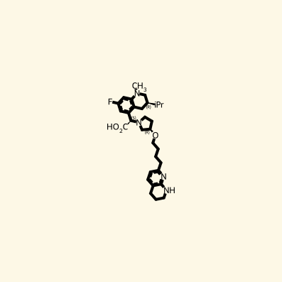 CC(C)[C@H]1Cc2c([C@@H](C(=O)O)N3CC[C@@H](OCCCCc4ccc5c(n4)NCCC5)C3)cc(F)cc2N(C)C1